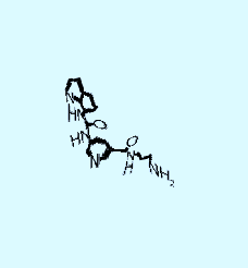 NCCCNC(=O)c1cncc(NC(=O)Nc2cccc3cccnc23)c1